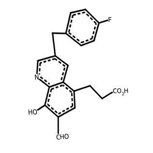 O=Cc1cc(CCC(=O)O)c2cc(Cc3ccc(F)cc3)cnc2c1O